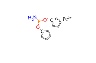 NP([O-])O[c-]1cccc1.[Fe+2].c1cc[cH-]c1